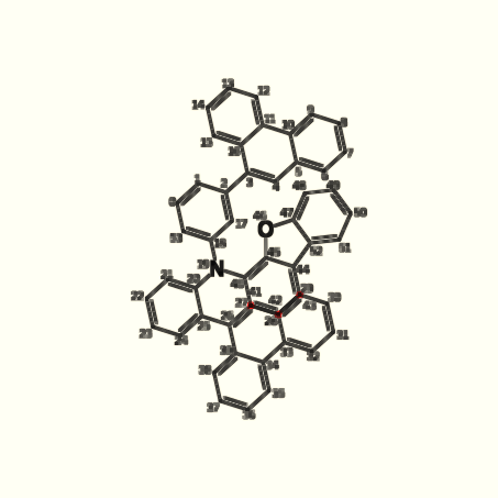 c1cc(-c2cc3ccccc3c3ccccc23)cc(N(c2ccccc2-c2cc3ccccc3c3ccccc23)c2cccc3c2oc2ccccc23)c1